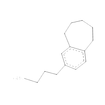 O=[C]CCCc1ccc2c(c1)CCCCC2